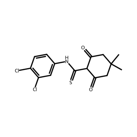 CC1(C)CC(=O)C(C(=S)Nc2ccc(Cl)c(Cl)c2)C(=O)C1